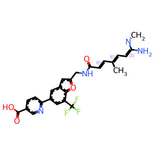 C=N\C(N)=C/C=C(C)/C=C/C(=O)NCc1cc2cc(-c3ccc(C(=O)O)cn3)cc(C(F)(F)F)c2o1